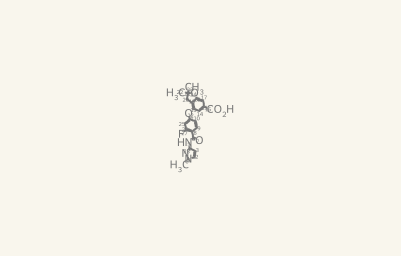 Cn1ccc(NC(=O)c2ccc(Oc3cc(C(=O)O)cc4c3CC(C)(C)O4)cc2F)n1